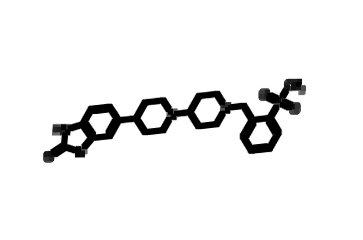 CS(=O)(=O)c1ccccc1CN1CCC(N2CCC(c3ccc4c(c3)[N]C(=O)N4)CC2)CC1